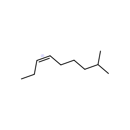 CC/C=C\CCCC(C)C